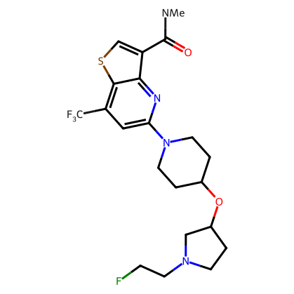 CNC(=O)c1csc2c(C(F)(F)F)cc(N3CCC(OC4CCN(CCF)C4)CC3)nc12